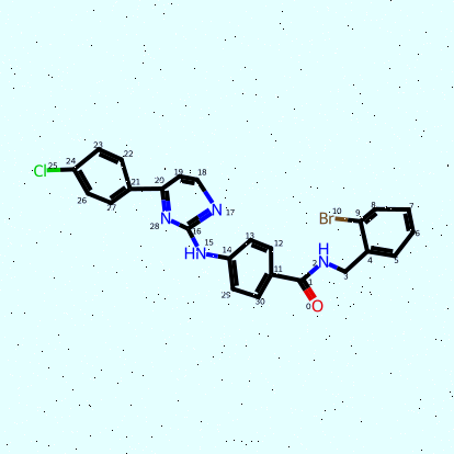 O=C(NCc1ccccc1Br)c1ccc(Nc2nccc(-c3ccc(Cl)cc3)n2)cc1